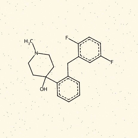 CN1CCC(O)(c2ccccc2Cc2cc(F)ccc2F)CC1